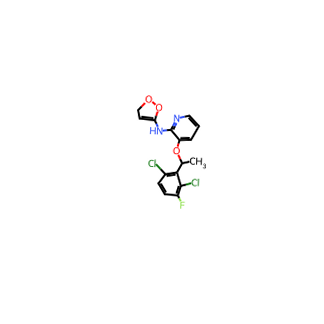 CC(Oc1cccnc1NC1=CCOO1)c1c(Cl)ccc(F)c1Cl